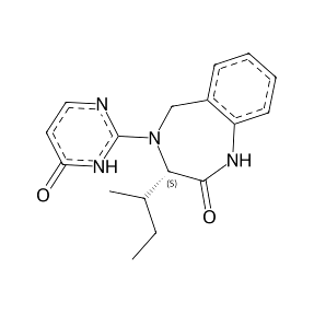 CCC(C)[C@H]1C(=O)Nc2ccccc2CN1c1nccc(=O)[nH]1